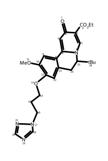 CCOC(=O)c1cn2c(cc1=O)-c1cc(OC)c(OCCCn3cncn3)cc1CC2C(C)(C)C